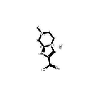 CN1CCn2cc(C(=O)[O-])nc2C1.[Li+]